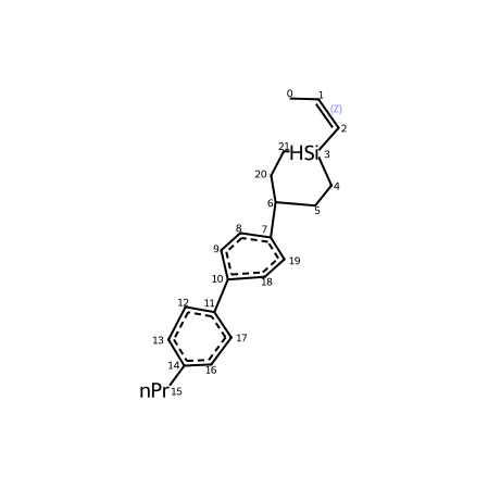 C/C=C\[SiH]1CCC(c2ccc(-c3ccc(CCC)cc3)cc2)CC1